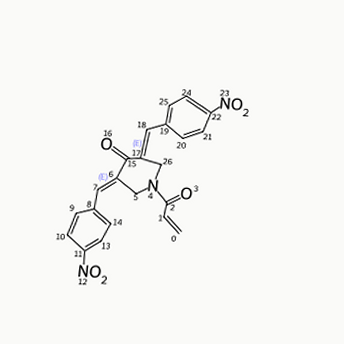 C=CC(=O)N1C/C(=C\c2ccc([N+](=O)[O-])cc2)C(=O)/C(=C/c2ccc([N+](=O)[O-])cc2)C1